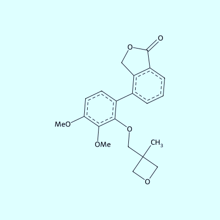 COc1ccc(-c2cccc3c2COC3=O)c(OCC2(C)COC2)c1OC